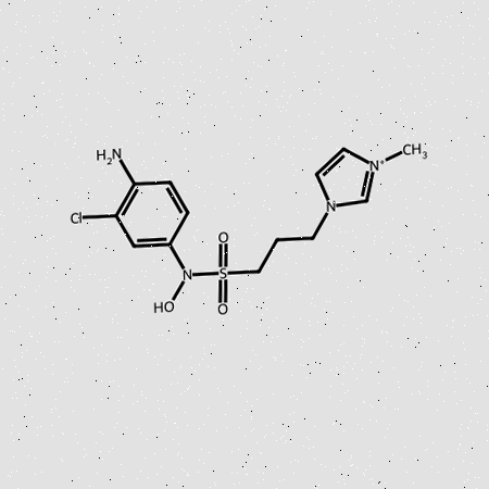 C[n+]1ccn(CCCS(=O)(=O)N(O)c2ccc(N)c(Cl)c2)c1